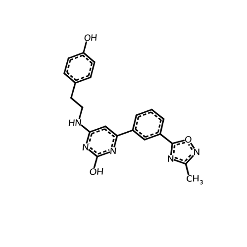 Cc1noc(-c2cccc(-c3cc(NCCc4ccc(O)cc4)nc(O)n3)c2)n1